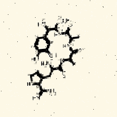 CC(NC(=O)C(N)CC1=CCNC1C(=N)N)C(=O)NC(C)C(=O)NC(C(=O)O)C(O)c1ccc(O)c(O)c1